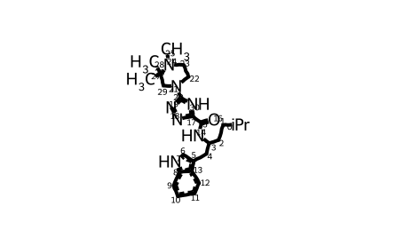 CC(C)CCC(Cc1c[nH]c2ccccc12)NC(=O)c1nnc(N2CCN(C)C(C)(C)C2)[nH]1